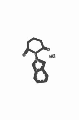 Cl.O=C1CCCC(=O)N1n1cc2ccccc2c1